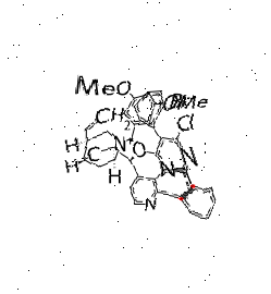 C=C[C@H]1C[N@+]2(Cc3cc(OC)cc(OC)c3)CC[C@H]1C[C@@H]2[C@@H](Oc1nc(-c2ccccc2)nc(Cl)c1-c1ccccc1)c1ccnc2ccccc12.[Br-]